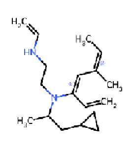 C=CNCCN(/C(C=C)=C/C(C)=C\C)C(C)CC1CC1